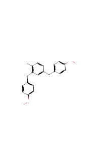 COc1ccc(Cc2ccc(C)c(Cc3ccc(OC)cc3)c2)cc1